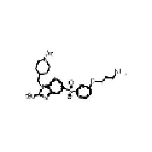 CC(=O)N1CCC(Cn2c(C(C)(C)C)nc3cc(S(=O)(=O)c4cccc(OCCCN)c4)ccc32)CC1